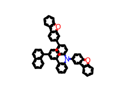 c1cc(-c2ccccc2N(c2ccc(-c3ccc4c(c3)oc3ccccc34)cc2)c2ccc3oc4ccccc4c3c2)cc(-c2cccc3ccccc23)c1